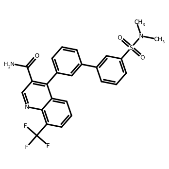 CN(C)S(=O)(=O)c1cccc(-c2cccc(-c3c(C(N)=O)cnc4c(C(F)(F)F)cccc34)c2)c1